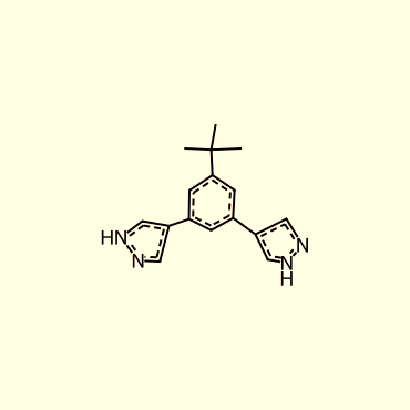 CC(C)(C)c1cc(-c2cn[nH]c2)cc(-c2cn[nH]c2)c1